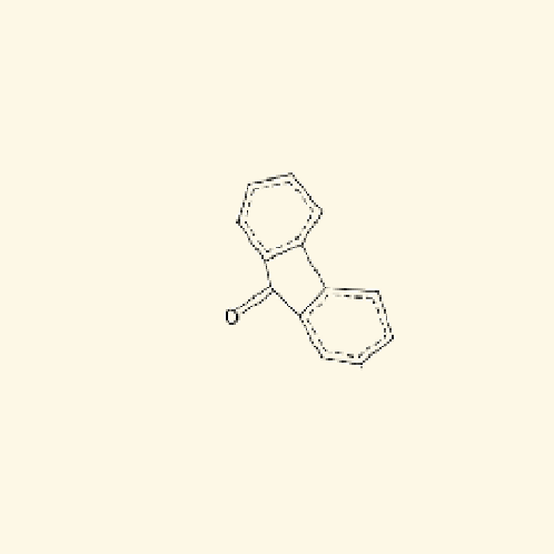 O=C1c2c[c]ccc2-c2ccccc21